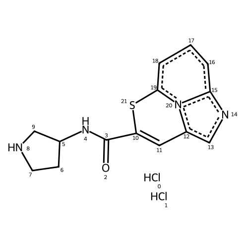 Cl.Cl.O=C(NC1CCNC1)C1=Cc2cnc3cccc(n23)S1